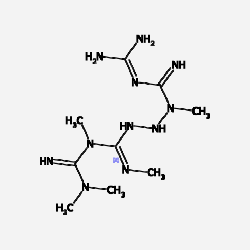 C/N=C(\NNN(C)C(=N)N=C(N)N)N(C)C(=N)N(C)C